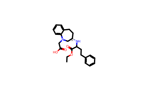 CCOC(=O)C(CCc1ccccc1)N[C@H]1CCc2ccccc2N(CC(=O)O)C1